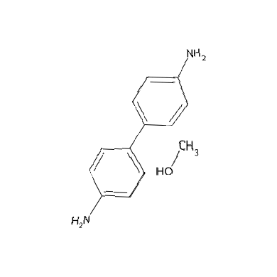 CO.Nc1ccc(-c2ccc(N)cc2)cc1